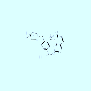 CC(Nc1ncc2ccc(=O)n(CC(C)(C)C)c2n1)c1ccc(CN2CCC(F)(F)CC2)cc1